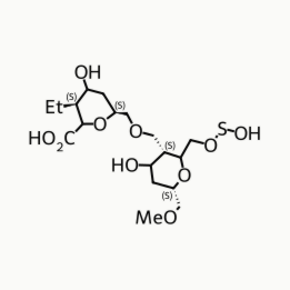 CC[C@H]1C(O)C[C@@H](COC[C@H]2C(O)C[C@@H](COC)OC2COSO)OC1C(=O)O